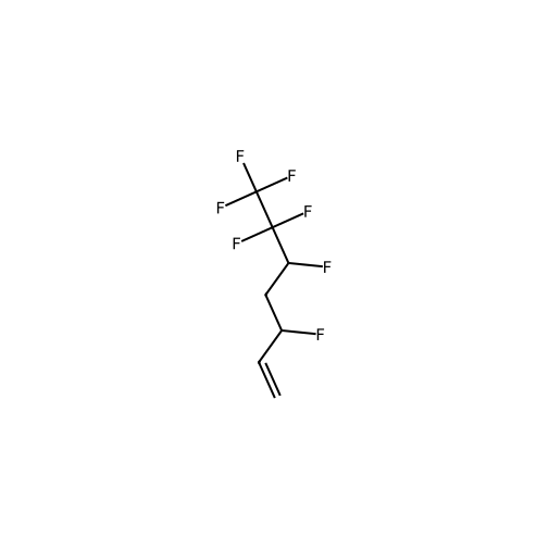 C=CC(F)CC(F)C(F)(F)C(F)(F)F